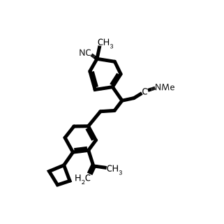 C=C(C)C1=C(C2CCC2)CCC(CCC(CCNC)C2=CCC(C)(C#N)C=C2)=C1